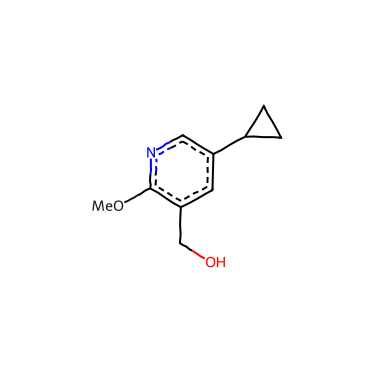 COc1ncc(C2CC2)cc1CO